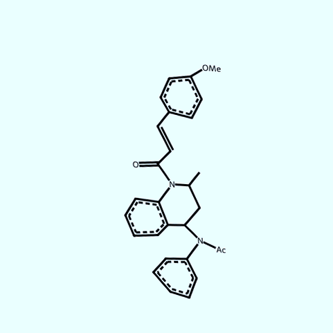 COc1ccc(C=CC(=O)N2c3ccccc3C(N(C(C)=O)c3ccccc3)CC2C)cc1